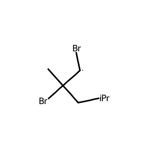 CC(C)CC(C)(Br)[CH]Br